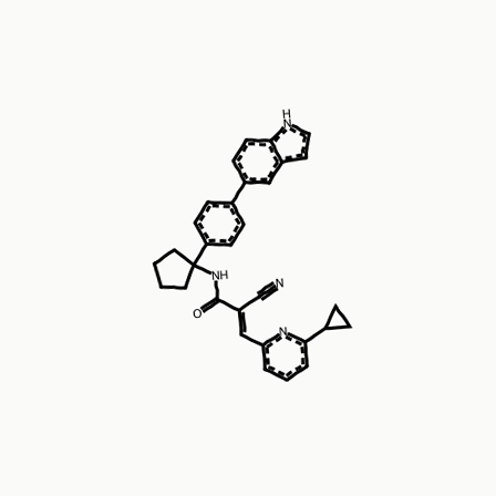 N#CC(=Cc1cccc(C2CC2)n1)C(=O)NC1(c2ccc(-c3ccc4[nH]ccc4c3)cc2)CCCC1